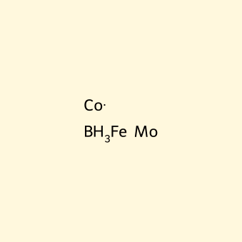 B.[Co].[Fe].[Mo]